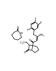 N/C(=C/C(=O)C12CCCN1C(=O)C2CC(F)(F)F)Cc1cc(F)c(F)cc1F.O=C1CCCCCN1